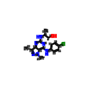 CCC(CO)Nc1nc(Nc2ccc(Cl)cc2)c2c(n1)c(C(C)C)nn2C(C)C